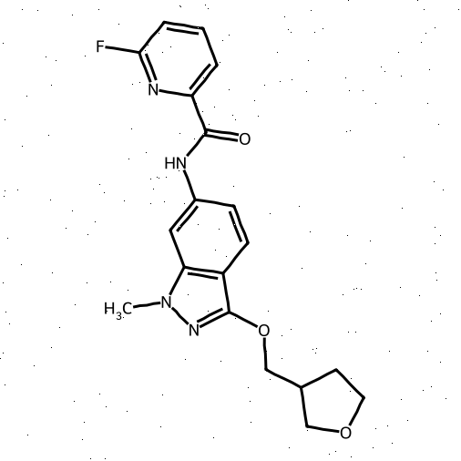 Cn1nc(OCC2CCOC2)c2ccc(NC(=O)c3cccc(F)n3)cc21